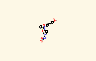 COC(=O)CC(=O)NCCN(Cc1cccc(C(=O)Nc2sc3c(c2C(=O)Nc2ccc(CCc4ccc(C(=O)OC)cc4)cc2)CCCC3)c1)C1CC1